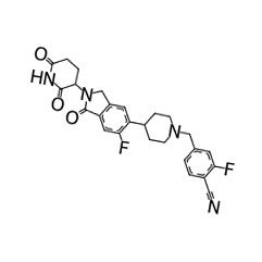 N#Cc1ccc(CN2CCC(c3cc4c(cc3F)C(=O)N(C3CCC(=O)NC3=O)C4)CC2)cc1F